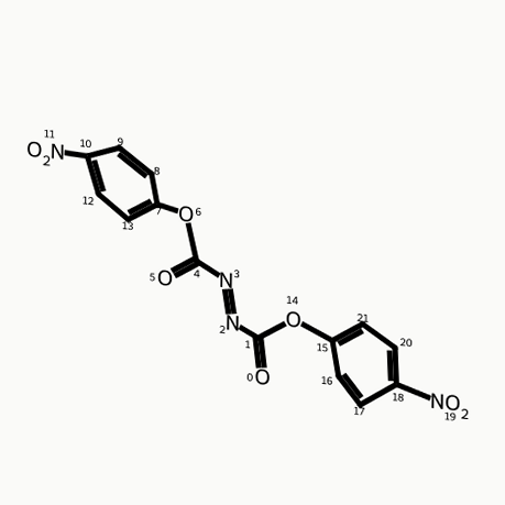 O=C(N=NC(=O)Oc1ccc([N+](=O)[O-])cc1)Oc1ccc([N+](=O)[O-])cc1